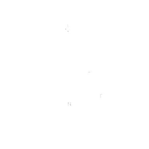 C=Cc1ncc(Cc2c(F)ccc3[nH]c(C)c(C)c23)cc1F